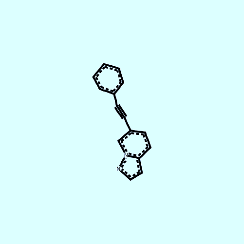 C(#Cc1ccc2ccnn2c1)c1ccccc1